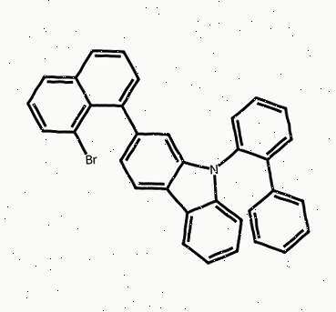 Brc1cccc2cccc(-c3ccc4c5ccccc5n(-c5ccccc5-c5ccccc5)c4c3)c12